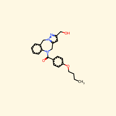 CCCCOc1ccc(C(=O)N2Cc3cc(CO)nn3Cc3ccccc32)cc1